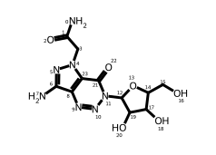 NC(=O)Cn1nc(N)c2nnn(C3OC(CO)C(O)C3O)c(=O)c21